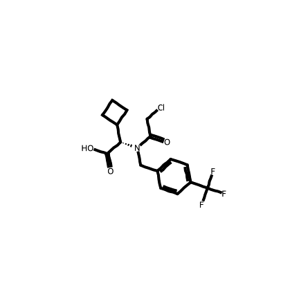 O=C(O)[C@H](C1CCC1)N(Cc1ccc(C(F)(F)F)cc1)C(=O)CCl